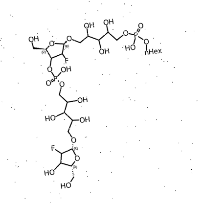 CCCCCCOP(=O)(O)OCC(O)C(O)C(O)CO[C@@H]1O[C@H](CO)C(OP(=O)(O)OCC(O)C(O)C(O)CO[C@@H]2O[C@H](CO)C(O)C2F)C1F